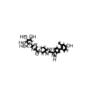 CCc1cc(O)c(F)cc1-c1ccc2c(-c3nc4c([nH]3)CCN(C(=O)c3cnc(N5C[C@@H](O)[C@H](O)[C@@H](O)[C@@H]5CO)cn3)C4)n[nH]c2c1